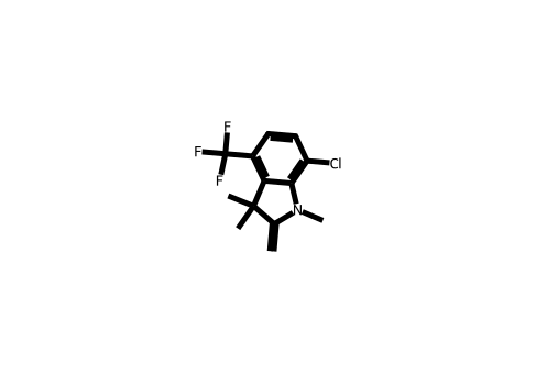 C=C1N(C)c2c(Cl)ccc(C(F)(F)F)c2C1(C)C